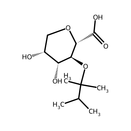 CC(C)C(C)(C)O[C@H]1[C@H](O)[C@H](O)CO[C@@H]1C(=O)O